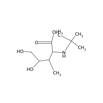 CC(C(O)CO)C(NC(C)(C)C)C(=O)O